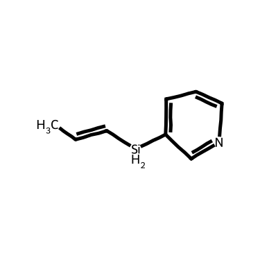 CC=C[SiH2]c1cccnc1